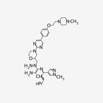 CCC/C=C/C(=N\C(=C(/C)N)N(N)CC1CN(c2ncc(-c3ccc(OCCN4CCN(C)CC4)cc3)cn2)CCO1)c1cnn(C)c1